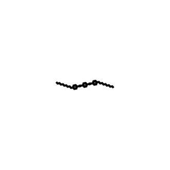 CCCCCCCCCCc1ccc(C#Cc2ccc(C#Cc3ccc(CCCCCCCCCC)cc3)cc2)cc1